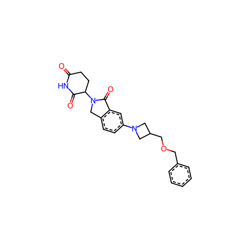 O=C1CCC(N2Cc3ccc(N4CC(COCc5ccccc5)C4)cc3C2=O)C(=O)N1